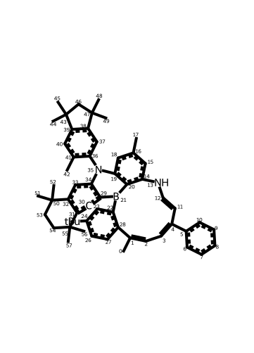 C/C1=C/C=C(c2ccccc2)\C=C\Nc2cc(C)cc3c2B(c2cc(C(C)(C)C)ccc21)c1cc2c(cc1N3c1cc3c(cc1C)C(C)(C)CC3(C)C)C(C)(C)CCC2(C)C